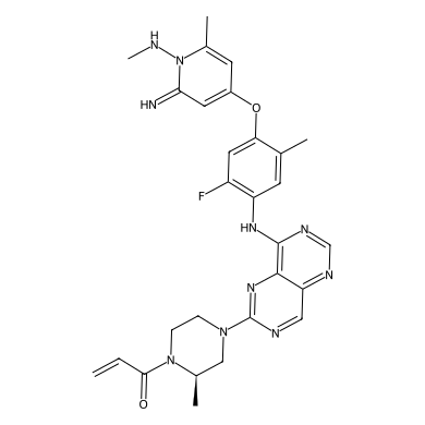 C=CC(=O)N1CCN(c2ncc3ncnc(Nc4cc(C)c(Oc5cc(C)n(NC)c(=N)c5)cc4F)c3n2)C[C@H]1C